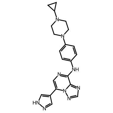 c1nc2c(Nc3ccc(N4CCN(C5CC5)CC4)cc3)ncc(-c3cn[nH]c3)n2n1